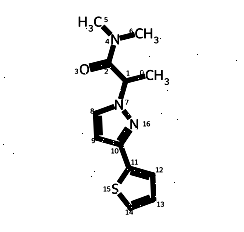 CC(C(=O)N(C)C)n1ccc(-c2cccs2)n1